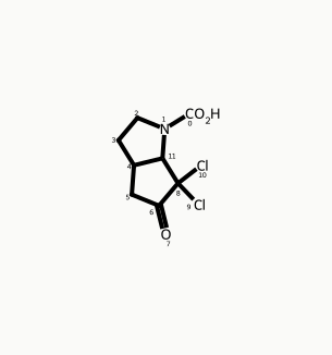 O=C(O)N1CCC2CC(=O)C(Cl)(Cl)C21